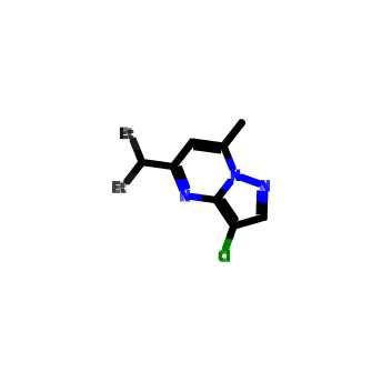 CCC(CC)c1cc(C)n2ncc(Cl)c2n1